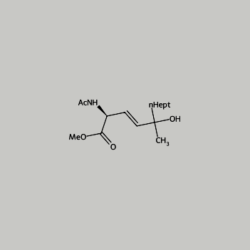 CCCCCCCC(C)(O)/C=C/[C@H](NC(C)=O)C(=O)OC